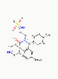 CC(=O)Nc1ccc2c(c1)C(C1CCC(C(C)C)CC1)N(CCNS(C)(=O)=O)C(=O)C21CCNCC1